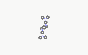 c1ccc(N(c2ccccc2)c2ccc(-n3ccc4cc5c(ccn5-c5ccc(N(c6ccccc6)c6ccccc6)cc5)cc43)cc2)cc1